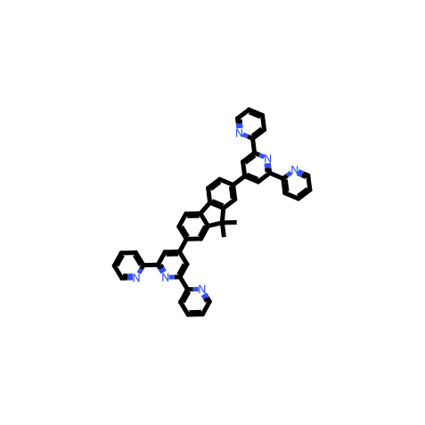 CC1(C)c2cc(-c3cc(-c4ccccn4)nc(-c4ccccn4)c3)ccc2-c2ccc(-c3cc(-c4ccccn4)nc(-c4ccccn4)c3)cc21